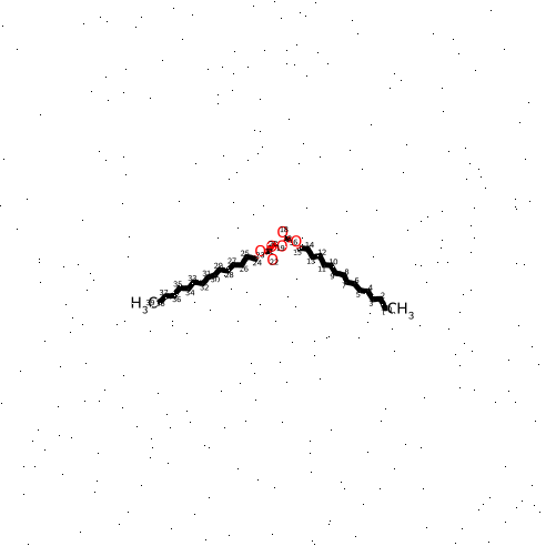 CCCCCCCCCCCCCCCCOC(=O)OOC(=O)OCCCCCCCCCCCCCCCC